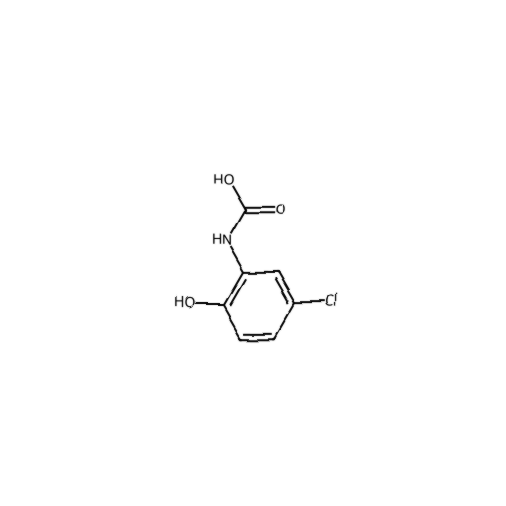 O=C(O)Nc1cc(Cl)ccc1O